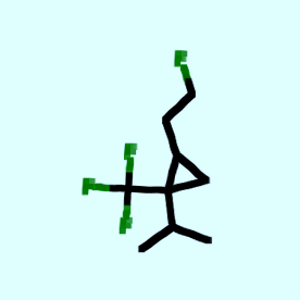 CC(C)C1(C(F)(F)F)CC1CCF